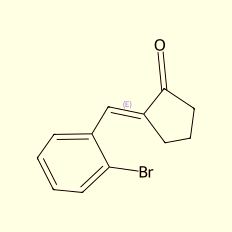 O=C1CCC/C1=C\c1ccccc1Br